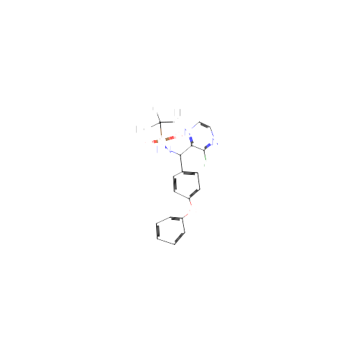 CC(C)(C)S(=O)(=O)NC(c1ccc(Oc2ccccc2)cc1)c1nccnc1Cl